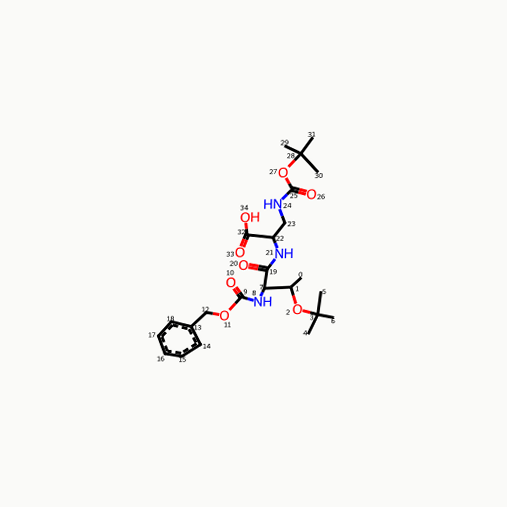 CC(OC(C)(C)C)C(NC(=O)OCc1ccccc1)C(=O)NC(CNC(=O)OC(C)(C)C)C(=O)O